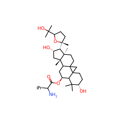 CC(C)C(N)C(=O)O[C@H]1CC2C3(CC[C@]4(C)[C@@H]([C@@]5(C)CCC(C(C)(C)O)O5)[C@@H](O)C[C@@]24C)CC32CC[C@H](O)C(C)(C)C12